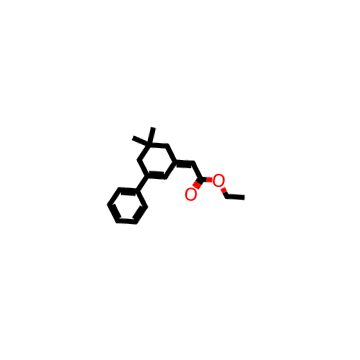 CCOC(=O)C=C1C=C(c2ccccc2)CC(C)(C)C1